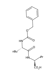 CCCC[C@H](NC(=O)OCc1ccccc1)C(=O)N[C@H](C(=O)O)C(C)C